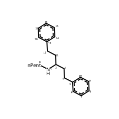 [CH2][CH]CCCNC(CCc1ccccc1)CCc1ccccc1